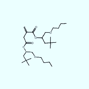 C=C(CC(=O)OC(COCCCC)CC(C)(C)C)C(=O)OC(COCCCC)CC(C)(C)C